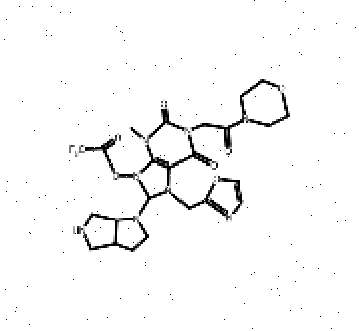 Cn1c2c(c(=O)n(CC(=O)N3CCOCC3)c1=O)N(Cc1ncco1)C(N1CCC3CNCC31)N2OC(=O)C(F)(F)F